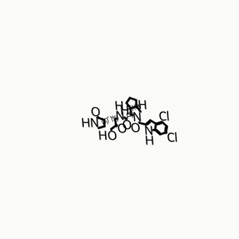 O=C1NCC[C@H]1C[C@H](NC(=O)[C@@H]1[C@H]2CCC[C@H]2CN1C(=O)c1cc2c(Cl)cc(Cl)cc2[nH]1)C(=O)CO